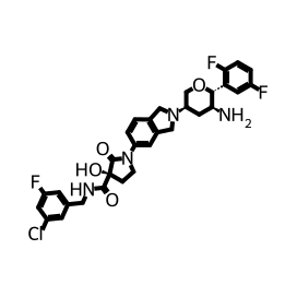 N[C@H]1C[C@@H](N2Cc3ccc(N4CC[C@](O)(C(=O)NCc5cc(F)cc(Cl)c5)C4=O)cc3C2)CO[C@@H]1c1cc(F)ccc1F